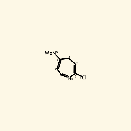 CNC1=CC=NC(Cl)=CC1